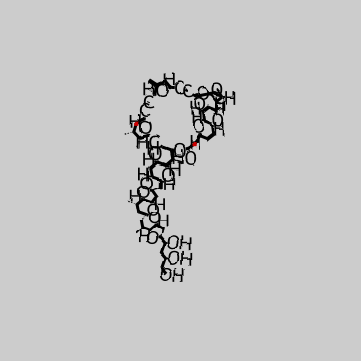 C=C1C[C@@H]2CCC34C[C@@H]5OC(O3)[C@H]5[C@H]3C[C@@H](O4)[C@H]4O[C@H](CC[C@@H]4O3)CC(=O)O[C@@H]3[C@@H](C)[C@@H]4O[C@@H]5C[C@]6(C[C@@H]7O[C@]8(C[C@H](C)[C@@H]9O[C@H]([C@@H](O)C[C@@H](O)CO)C[C@@H]9O8)C[C@H](C)[C@@H]7O6)O[C@@H]5C[C@@H]4O[C@H]3C[C@H]3O[C@@H](CC[C@@H]1O2)C[C@@H](C)[C@H]3C